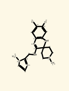 CN1CCC2(CC1)Nc1cc(Cl)c(Cl)cc1N=C2NCc1nccn1C